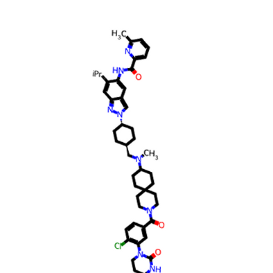 Cc1cccc(C(=O)Nc2cc3cn([C@H]4CC[C@H](CN(C)C5CCC6(CC5)CCN(C(=O)c5ccc(Cl)c(N7CCC(=O)NC7=O)c5)CC6)CC4)nc3cc2C(C)C)n1